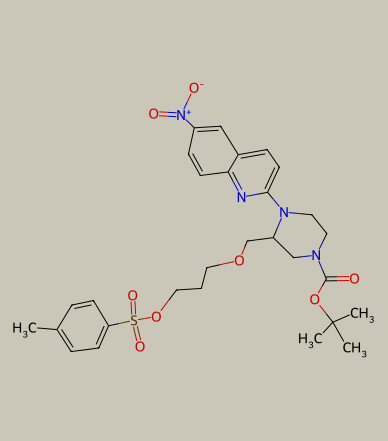 Cc1ccc(S(=O)(=O)OCCCOCC2CN(C(=O)OC(C)(C)C)CCN2c2ccc3cc([N+](=O)[O-])ccc3n2)cc1